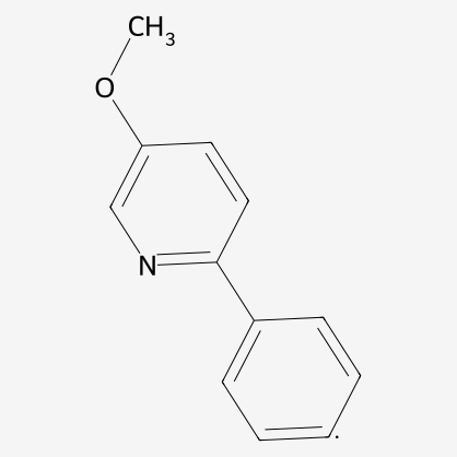 COc1ccc(-c2cc[c]cc2)nc1